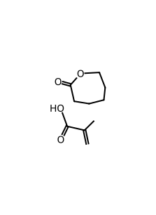 C=C(C)C(=O)O.O=C1CCCCCO1